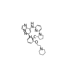 CC1CCCN1c1cccc(Nc2cc(-c3cccc(OCCN4CCCCC4)c3)nn3ccnc23)n1